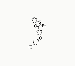 CCC1Sc2ccccc2OC1c1ccc(OC2CCN(C3CCC3)CC2)cc1